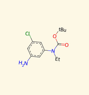 CCN(C(=O)OC(C)(C)C)c1cc(N)cc(Cl)c1